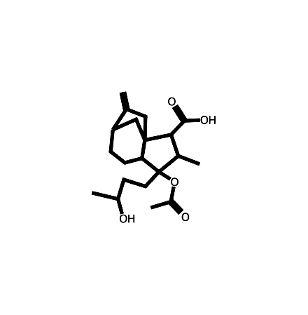 C=C1CC23CC1CCC2C(CCC(C)O)(OC(C)=O)C(C)C3C(=O)O